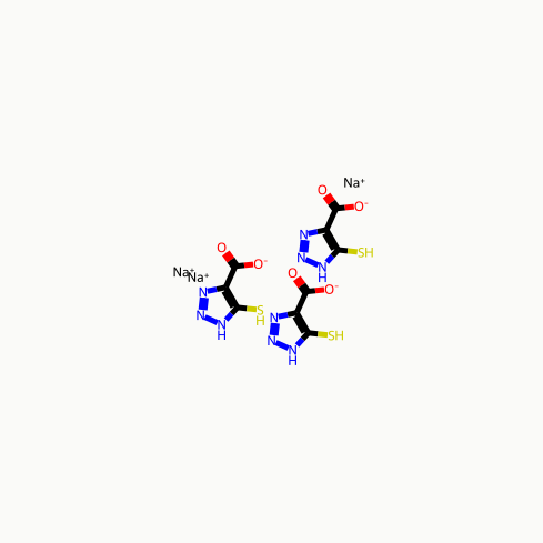 O=C([O-])c1nn[nH]c1S.O=C([O-])c1nn[nH]c1S.O=C([O-])c1nn[nH]c1S.[Na+].[Na+].[Na+]